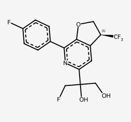 OCC(O)(CF)c1cc2c(c(-c3ccc(F)cc3)n1)OC[C@H]2C(F)(F)F